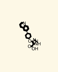 O=C(O)c1[nH]nnc1O[C@H]1CC[C@H](c2ccc3ncccc3c2)CC1